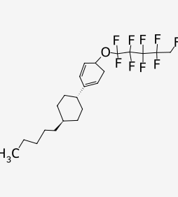 CCCCC[C@H]1CC[C@H](C2=CCC(OC(F)(F)C(F)(F)C(F)(F)C(F)(F)CF)C=C2)CC1